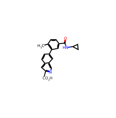 Cc1ccc(C(=O)NC2CC2)cc1-c1ccc2cc(C(=O)O)ncc2c1